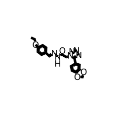 CCOc1ccc(C=NNC(=O)Cn2nnnc2-c2ccc3c(c2)OCO3)cc1